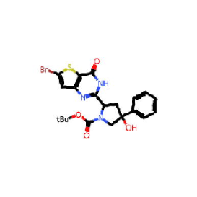 CC(C)(C)OC(=O)N1CC(O)(c2ccccc2)CC1c1nc2cc(Br)sc2c(=O)[nH]1